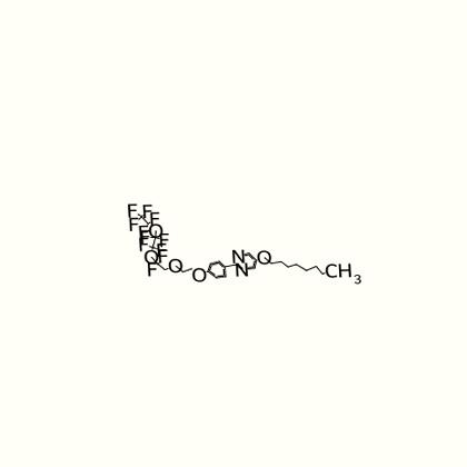 CCCCCCCCOc1cnc(-c2ccc(OCCOCC(F)(F)OC(F)(F)C(F)(F)OC(F)(F)C(F)(F)F)cc2)nc1